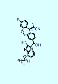 [2H]C([2H])([2H])Oc1cccn2c(C(O)c3ccc4c(c3)COc3cc(F)ccc3/C4=C(\C)C#N)c(C(C)C)nc12